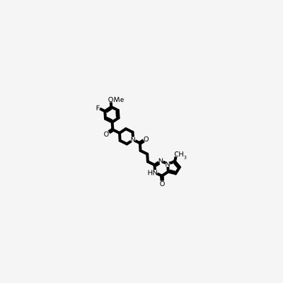 COc1ccc(C(=O)C2CCN(C(=O)CCCc3nn4c(C)ccc4c(=O)[nH]3)CC2)cc1F